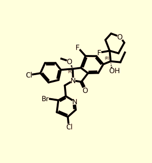 CC[C@@](O)(c1cc(F)c2c(c1)C(=O)N(Cc1ncc(Cl)cc1Br)[C@@]2(OC)c1ccc(Cl)cc1)C1(F)CCOCC1